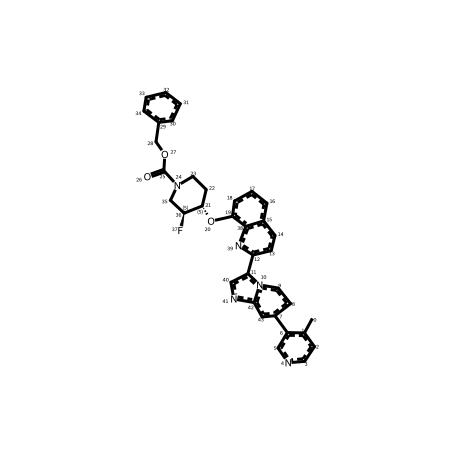 Cc1ccncc1-c1ccn2c(-c3ccc4cccc(O[C@H]5CCN(C(=O)OCc6ccccc6)C[C@@H]5F)c4n3)cnc2c1